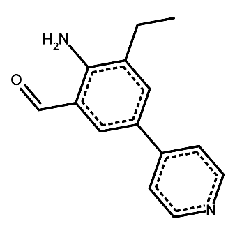 CCc1cc(-c2ccncc2)cc(C=O)c1N